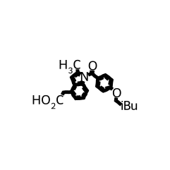 CCC(C)COc1ccc(C(=O)n2c(C)cc3c(CC(=O)O)cccc32)cc1